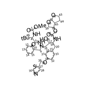 COC(=O)NC(C(=O)NN(Cc1ccccc1)CC(O)C(Cc1ccc(OCc2cncs2)cc1)NC(=O)OC1COC2OCCC12)C(C)(C)C